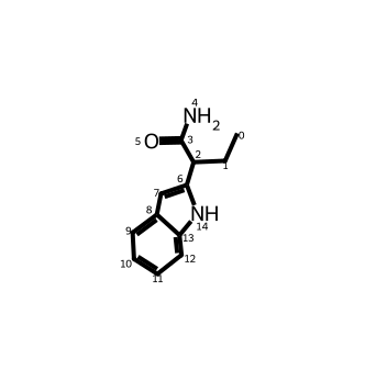 CCC(C(N)=O)c1cc2ccccc2[nH]1